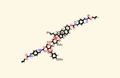 C=CCOC(=O)NCc1ccc(CNC(=O)OC2COC(OC3C(O)COC(O[C@H]4C[C@H]5[C@@H]6CC=C7C[C@@H](OC(=O)NCc8ccc(CNC(=O)OCC=C)cc8)CC[C@]7(C)C6CC[C@]5(C)[C@@]4(O)[C@H](C)C(=O)CCC(C)C)C3OC(C)=O)C(OC(=O)c3ccc(OC)cc3)C2O)cc1